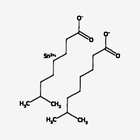 CC(C)CCCCCC(=O)[O-].CC(C)CCCCCC(=O)[O-].[Sn+2]